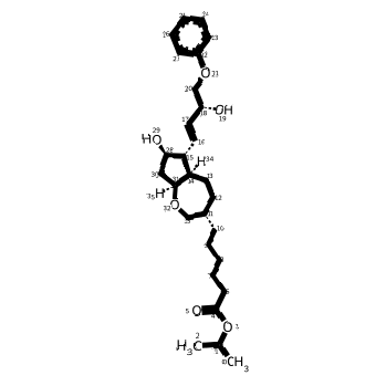 CC(C)OC(=O)CCCCC[C@H]1CC[C@@H]2[C@@H](C=C[C@@H](O)COc3ccccc3)[C@H](O)C[C@@H]2OC1